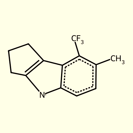 Cc1ccc2c(c1C(F)(F)F)C1=C(CCC1)[N]2